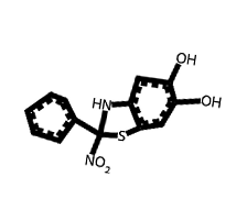 O=[N+]([O-])C1(c2ccccc2)Nc2cc(O)c(O)cc2S1